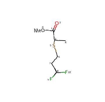 COC(=O)C(C)SCCC(F)F